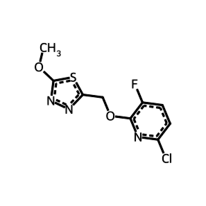 COc1nnc(COc2nc(Cl)ccc2F)s1